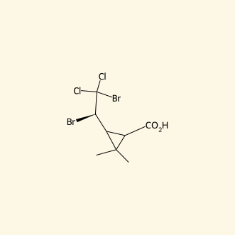 CC1(C)C(C(=O)O)C1[C@@H](Br)C(Cl)(Cl)Br